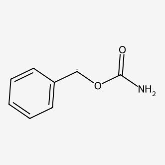 NC(=O)O[CH]c1ccccc1